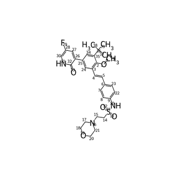 COc1c(/C=C/c2ccc(NS(=O)(=O)CCN3CCOCC3)cc2)cc(-c2cc(F)c[nH]c2=O)cc1C(C)(C)C